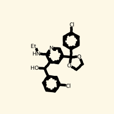 CCNc1ncc(C2(c3ccc(Cl)cc3)OCCO2)cc1C(O)c1cccc(Cl)c1